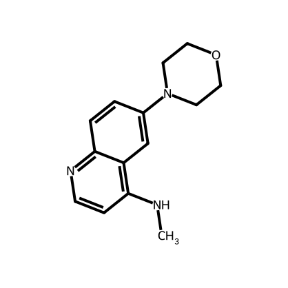 CNc1ccnc2ccc(N3CCOCC3)cc12